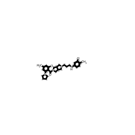 Cc1cc(Cl)c(C(=O)N2CC3CN(CCCNc4ccc(C)c(Cl)c4)CC3C2)c(N2CCCC2)c1